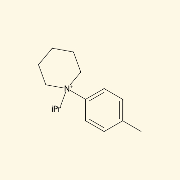 Cc1ccc([N+]2(C(C)C)CCCCC2)cc1